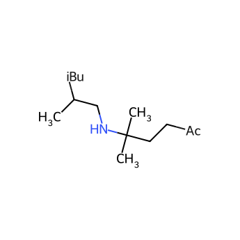 CCC(C)C(C)CNC(C)(C)CCC(C)=O